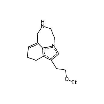 CCOCCc1cn2c3c1CCC=C3CNCC2